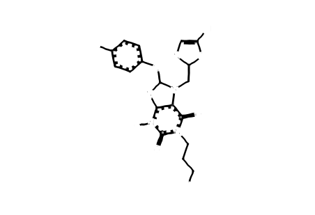 CC1=CNC(CN2c3c(n(C)c(=O)n(CCCO)c3=O)NC2Oc2ccc(F)cc2)S1